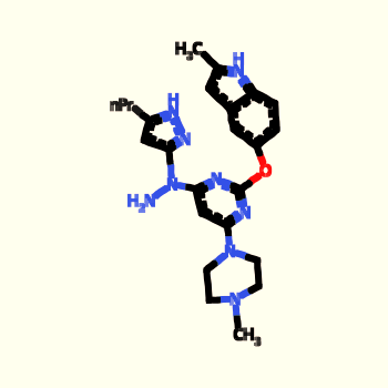 CCCc1cc(N(N)c2cc(N3CCN(C)CC3)nc(Oc3ccc4[nH]c(C)cc4c3)n2)n[nH]1